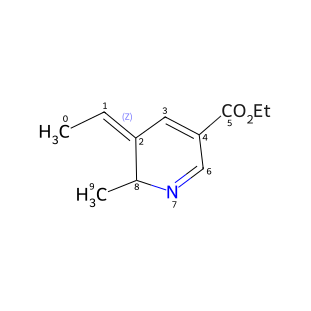 C/C=C1/C=C(C(=O)OCC)C=NC1C